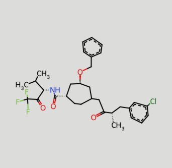 CC(C)[C@H](NC(=O)[C@H]1CCC(CC(=O)[C@@H](C)Cc2cccc(Cl)c2)C[C@H](OCc2ccccc2)C1)C(=O)C(F)(F)F